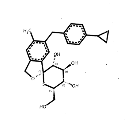 Cc1cc2c(cc1Cc1ccc(C3CC3)cc1)[C@]1(OC2)S[C@H](CO)[C@@H](O)[C@H](O)[C@H]1O